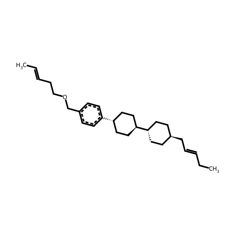 CC=CCCOCc1ccc([C@H]2CC[C@H]([C@H]3CC[C@H](CC=CCC)CC3)CC2)cc1